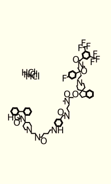 CN(CCN1CCC(N(C(=O)O)c2ccccc2-c2ccccc2)CC1)C(=O)CCCNc1ccc(C(=O)N(C)CCCN(C)C(=O)CO[C@H]2Cc3ccccc3C23CCN(CC[C@@]2(c4ccc(F)cc4)CN(C(=O)c4cc(C(F)(F)F)cc(C(F)(F)F)c4)CO2)CC3)cc1.Cl.Cl.Cl